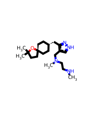 CNCCN(C)Cc1c[nH]nc1C[C@H]1CC[C@]2(CCC(C)(C)O2)CC1